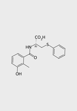 Cc1c(O)cccc1C(=O)N[C@@H](CSc1ccccc1)C(=O)O